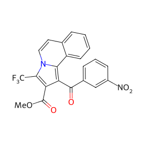 COC(=O)c1c(C(=O)c2cccc([N+](=O)[O-])c2)c2c3ccccc3ccn2c1C(F)(F)F